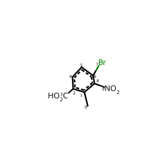 Cc1c(C(=O)O)ccc(Br)c1[N+](=O)[O-]